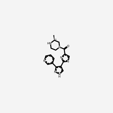 C[C@H]1CN(C(=O)c2csc(-c3c[nH]nc3-c3cccnc3)n2)CCN1